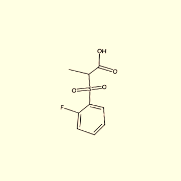 CC(C(=O)O)S(=O)(=O)c1ccccc1F